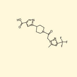 Cc1cc(C(F)(F)F)nn1CC(=O)N1CCC(n2cc(C(=O)O)cn2)CC1